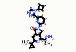 C[C@@H](N)c1nc(C2(C)CC2)cc2c1CN(c1cccc(-c3nncn3C3CCC3)n1)C2=O